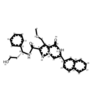 COCc1c(C(=O)N[C@H](CCO)c2ccccc2)nn2cc(-c3ccc4ccccc4c3)[nH]c(=O)c12